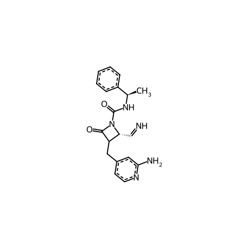 C[C@@H](NC(=O)N1C(=O)C(Cc2ccnc(N)c2)[C@H]1C=N)c1ccccc1